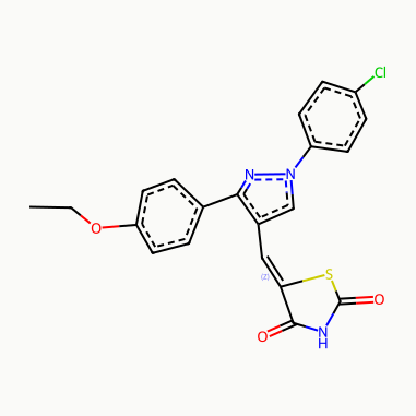 CCOc1ccc(-c2nn(-c3ccc(Cl)cc3)cc2/C=C2\SC(=O)NC2=O)cc1